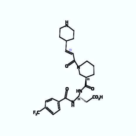 O=C(O)C[C@H](NC(=O)c1ccc(C(F)(F)F)cc1)NC(=O)[C@@H]1CCCN(C(=O)/C=C/C2CCNCC2)C1